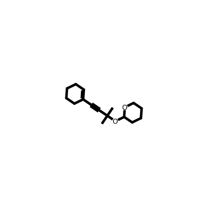 CC(C)(C#CC1=CCCCC1)OC1CCCCO1